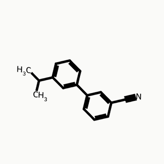 CC(C)c1cccc(-c2cccc(C#N)c2)c1